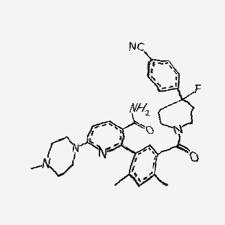 Cc1cc(C)c(-c2nc(N3CCN(C)CC3)ccc2C(N)=O)cc1C(=O)N1CCC(F)(c2ccc(C#N)cc2)CC1